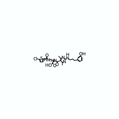 Cc1nc(NCCCc2cccc(O)c2)nc(C)c1C(=O)N[C@@H](CNC(=O)c1ccc(Cl)s1)C(=O)O